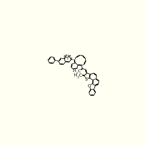 C=C(/C=c1/ccc(-c2ccccc2)cc1=C)c1ccccccc(C(=C)/C=c2\c(=C)sc3c2ccc2ccc4c5ccccc5oc4c23)c2ccccc12